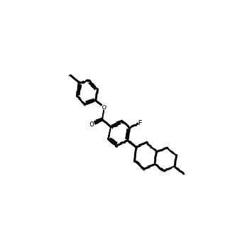 Cc1ccc(OC(=O)c2ccc(C3CCC4CC(C)CCC4C3)c(F)c2)cc1